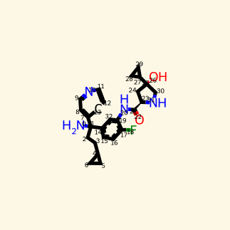 NC(CCC1CC1)(C1=CC=NC=CC1)c1ccc(F)c(NC(=O)[C@H]2C[C@](O)(C3CC3)CN2)c1